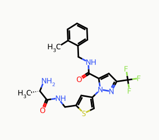 Cc1ccccc1CNC(=O)c1cc(C(F)(F)F)nn1-c1csc(CNC(=O)[C@H](C)N)c1